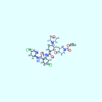 CC(C)(C)OC(=O)N1CCC(Oc2cc(N3CCOCC3)ccc2C(=O)Nc2cc(Cl)ccc2C(=O)Nc2ccc(Cl)cn2)CC1